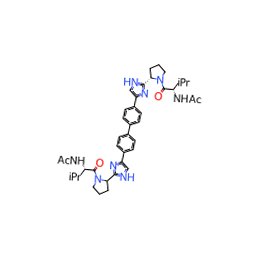 CC(=O)N[C@H](C(=O)N1CCCC1c1nc(-c2ccc(-c3ccc(-c4c[nH]c([C@@H]5CCCN5C(=O)[C@@H](NC(C)=O)C(C)C)n4)cc3)cc2)c[nH]1)C(C)C